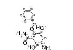 Cl.NC(=O)c1c(OCc2ccccc2)ccc(N)c1O